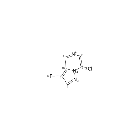 Fc1cnn2c(Cl)cncc12